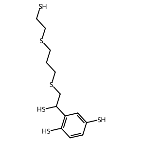 SCCSCCCSCC(S)c1cc(S)ccc1S